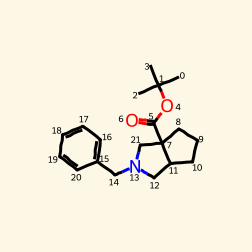 CC(C)(C)OC(=O)C12CCCC1CN(Cc1ccccc1)C2